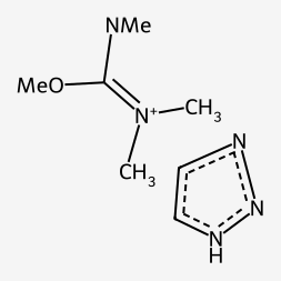 CNC(OC)=[N+](C)C.c1c[nH]nn1